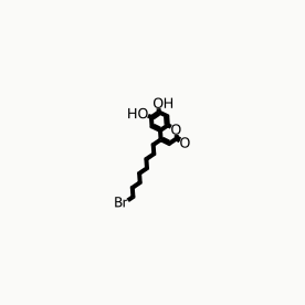 O=c1cc(CCCCCCCCBr)c2cc(O)c(O)cc2o1